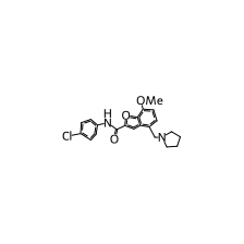 COc1ccc(CN2CCCC2)c2cc(C(=O)Nc3ccc(Cl)cc3)oc12